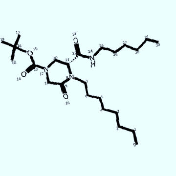 CCCCCCCCN1C(=O)CN(C(=O)OC(C)(C)C)C[C@@H]1C(=O)NCCCCCC